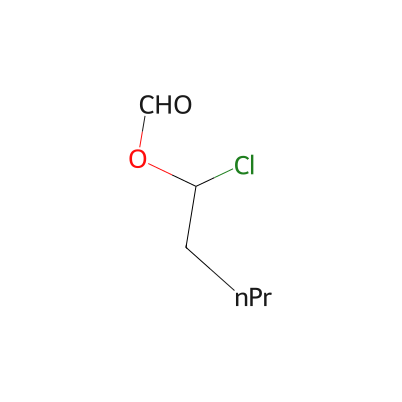 CCCCC(Cl)OC=O